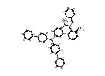 C=c1cccc/c1=C(/C=C1/C=CC=CC1)N(C)c1ccc(N(c2ccc(-c3ccccc3)cc2)c2ccc(-c3ccccc3)cc2)cc1